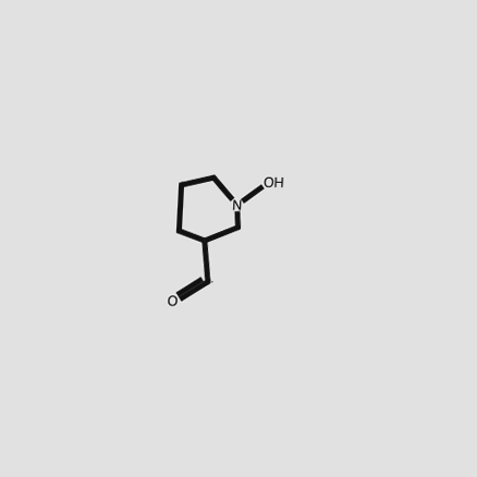 O=[C]C1CCCN(O)C1